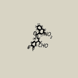 CN(CC(CC=O)c1ccc(F)c(F)c1)C(=O)c1cc([N+](=O)[O-])cc2ccccc12